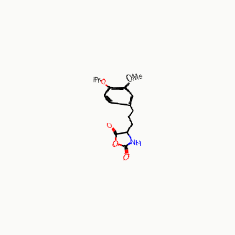 COc1cc(CCCC2NC(=O)OC2=O)ccc1OC(C)C